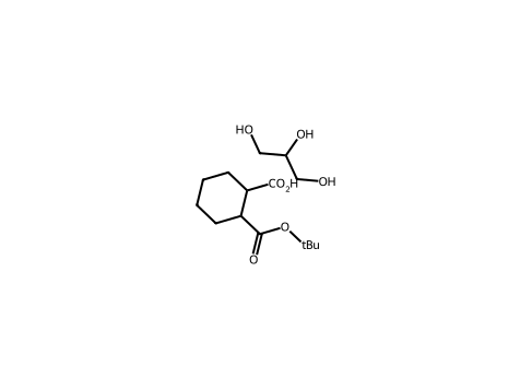 CC(C)(C)OC(=O)C1CCCCC1C(=O)O.OCC(O)CO